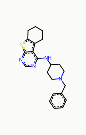 c1ccc(CN2CCC(Nc3ncnc4sc5c(c34)CCCC5)CC2)cc1